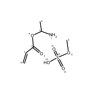 C=CC(=O)OC(C)N.COS(=O)(=O)O